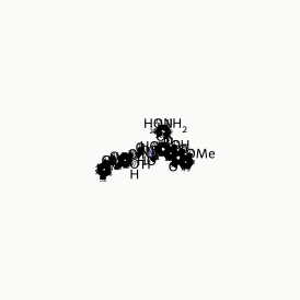 COc1cccc2c1C(=O)c1c(cc3c(c1O)[C@H](O[C@@H]1C[C@@H](N)[C@@H](O)[C@@H](C)O1)C[C@@](O)(/C(CO)=N/NC(=O)COc1ccc(Cn4c(=O)oc5ccc(C)cc54)cc1O)C3)C2=O